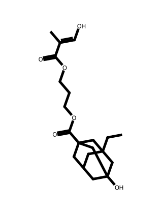 CCC12CC3CC(O)(C1)CC(C(=O)OCCCOC(=O)C(C)=CO)(C3)C2